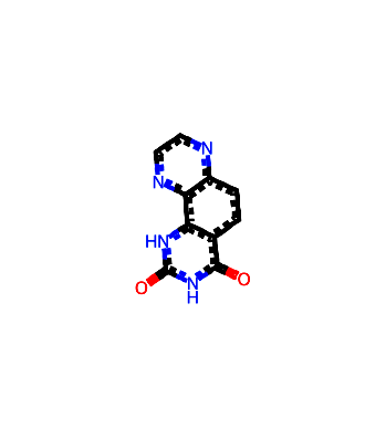 O=c1[nH]c(=O)c2ccc3nccnc3c2[nH]1